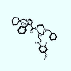 COc1ccc(NCC[C@@H]2CN(Cc3ccccc3)CCN2C(=O)c2ncn(CC3(O)CCCCC3)c2-c2ccccc2)c(F)c1